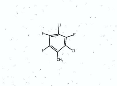 Cc1c(F)c(F)c(Cl)c(F)c1Cl